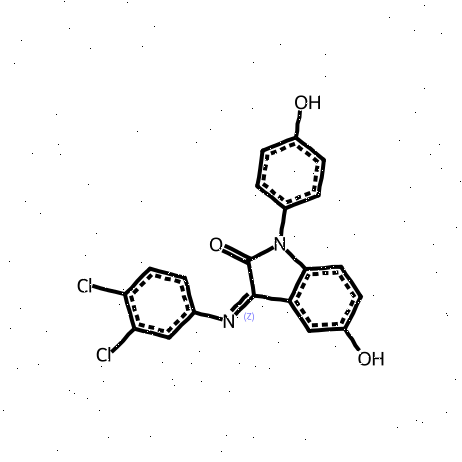 O=C1/C(=N\c2ccc(Cl)c(Cl)c2)c2cc(O)ccc2N1c1ccc(O)cc1